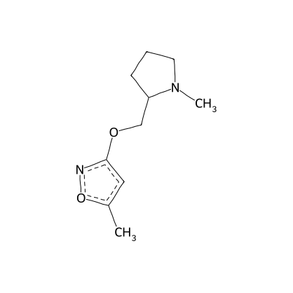 Cc1cc(OCC2CCCN2C)no1